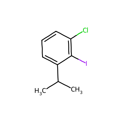 CC(C)c1cccc(Cl)c1I